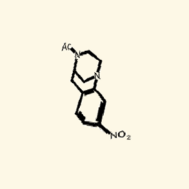 CC(=O)N1CCN2CC1Cc1ccc([N+](=O)[O-])cc12